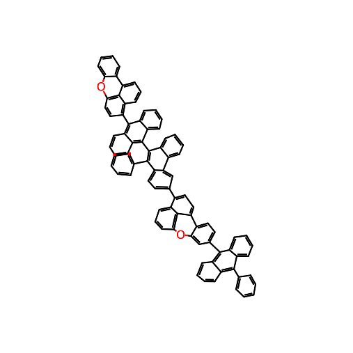 c1ccc(-c2c3ccccc3c(-c3ccc4c(c3)Oc3cccc5c(-c6ccc7c(-c8ccccc8)c(-c8c9ccccc9c(-c9ccc%10c%11c(cccc9%11)-c9ccccc9O%10)c9ccccc89)c8ccccc8c7c6)ccc-4c35)c3ccccc23)cc1